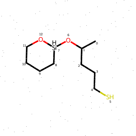 CC(CCCS)O[SiH]1CCCCO1